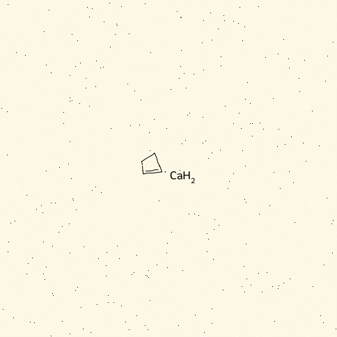 [C]1=CCC1.[CaH2]